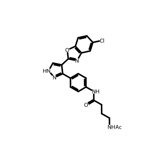 CC(=O)NCCCC(=O)Nc1ccc(-c2n[nH]cc2-c2nc3cc(Cl)ccc3o2)cc1